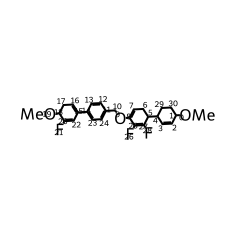 COC1C=CC(C2CC=C(OCc3ccc(C4=CCC(OC)C(F)=C4)cc3)C(F)=C2F)CC1